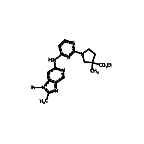 CCOC(=O)C1(C)CCN(c2nccc(Nc3cc4c(cn3)nc(C)n4C(C)C)n2)C1